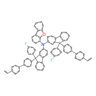 C=Cc1ccc(-c2ccc(C3(c4ccc(F)cc4)c4ccccc4-c4ccc(N(c5ccc6c(c5)C(c5ccc(F)cc5)(c5ccc(-c7ccc(C=C)cc7)cc5)c5ccccc5-6)c5cccc6c5oc5ccccc56)cc43)cc2)cc1